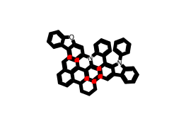 c1ccc(-n2c3ccccc3c3cccc(-c4ccccc4N(c4ccc5c(c4)oc4ccccc45)c4ccccc4-c4cccc5cccc(C6CCCCC6)c45)c32)cc1